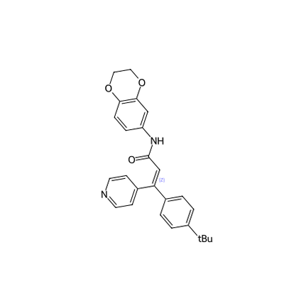 CC(C)(C)c1ccc(/C(=C/C(=O)Nc2ccc3c(c2)OCCO3)c2ccncc2)cc1